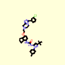 Cc1ccc(-n2nc(C(C)(C)C)cc2NC(=O)Nc2ccc(OCCN3CCn4c(nnc4-c4[c]ccc(Cl)c4)C3)c3c2CCC3)cc1